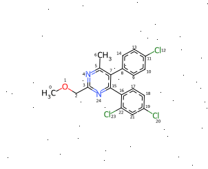 COCc1nc(C)c(-c2ccc(Cl)cc2)c(-c2ccc(Cl)cc2Cl)n1